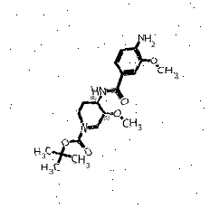 COc1cc(C(=O)N[C@@H]2CCN(C(=O)OC(C)(C)C)C[C@@H]2OC)ccc1N